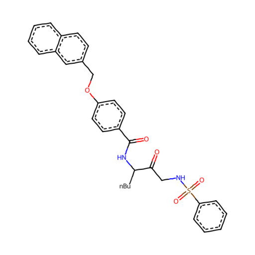 CCCCC(NC(=O)c1ccc(OCc2ccc3ccccc3c2)cc1)C(=O)CNS(=O)(=O)c1ccccc1